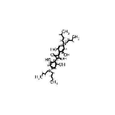 CCCCN(CCCC)c1cc(O)c(C2=C(O)C(=C3C(O)=CC(=[N+](CCCC)CCCC)C=C3O)C2=O)c(O)c1